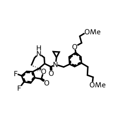 COCCCc1cc(CN(C(=O)C2CNCC[C@@]23OC(=O)c2cc(F)c(F)cc23)C2CC2)cc(OCCOC)c1